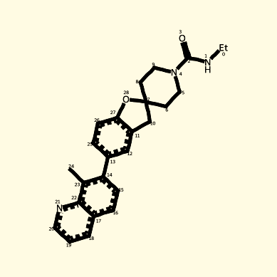 CCNC(=O)N1CCC2(CC1)Cc1cc(-c3ccc4cccnc4c3C)ccc1O2